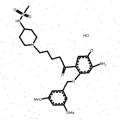 COc1cc(COc2cc(N)c(Cl)cc2C(=O)CCCCN2CCC(NS(C)(=O)=O)CC2)cc(OC)c1.Cl